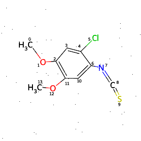 COc1cc(Cl)c(N=C=S)cc1OC